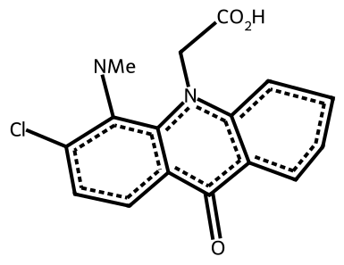 CNc1c(Cl)ccc2c(=O)c3ccccc3n(CC(=O)O)c12